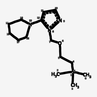 C[Si](C)(C)CCOCn1nccc1N1CCCCC1